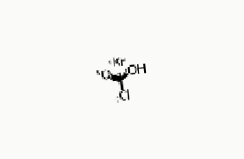 O=C(O)Cl.[Kr]